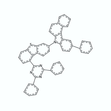 c1ccc(-c2ccc3c(c2)c2c4ccccc4ccc2n3-c2ccc3c(c2)sc2cccc(-c4nc(-c5ccccc5)nc(-c5ccccc5)n4)c23)cc1